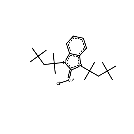 CC(C)(C)CC(C)(C)n1[c](=[Cu-2][Cl])n(C(C)(C)CC(C)(C)C)c2ccccc21